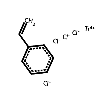 C=Cc1ccccc1.[Cl-].[Cl-].[Cl-].[Cl-].[Ti+4]